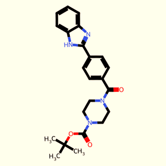 CC(C)(C)OC(=O)N1CCN(C(=O)c2ccc(-c3nc4ccccc4[nH]3)cc2)CC1